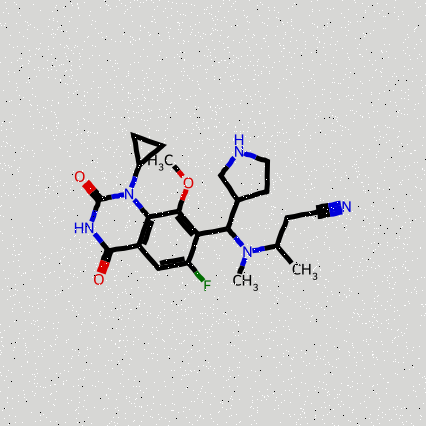 COc1c(C(C2CCNC2)N(C)C(C)CC#N)c(F)cc2c(=O)[nH]c(=O)n(C3CC3)c12